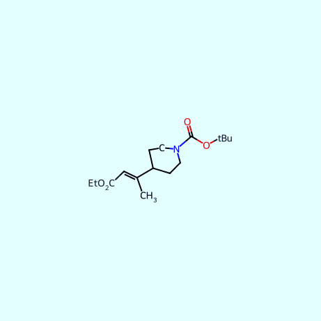 CCOC(=O)/C=C(\C)C1CCN(C(=O)OC(C)(C)C)CC1